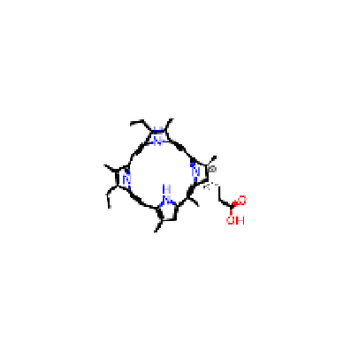 CCC1=C(C)c2cc3[nH]c(cc4nc(c(C)c5cc(C)c(cc1n2)[nH]5)[C@@H](CCC(=O)O)[C@@H]4C)c(C)c3CC